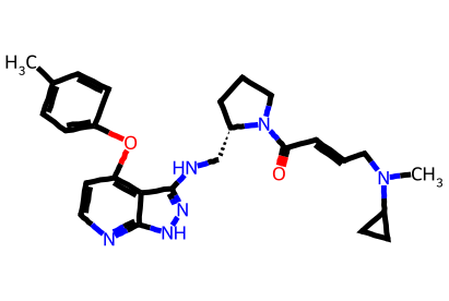 Cc1ccc(Oc2ccnc3[nH]nc(NC[C@@H]4CCCN4C(=O)/C=C/CN(C)C4CC4)c23)cc1